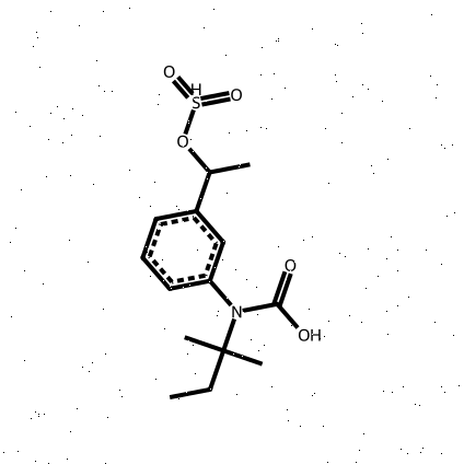 CCC(C)(C)N(C(=O)O)c1cccc(C(C)O[SH](=O)=O)c1